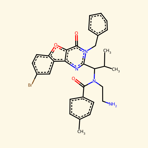 Cc1ccc(C(=O)N(CCN)C(c2nc3c(oc4ccc(Br)cc43)c(=O)n2Cc2ccccc2)C(C)C)cc1